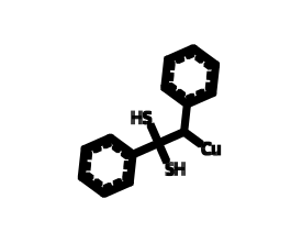 SC(S)(c1ccccc1)[CH]([Cu])c1ccccc1